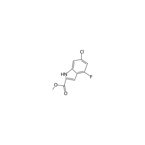 COC(=O)c1cc2c(F)cc(Cl)cc2[nH]1